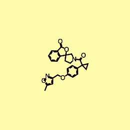 Cc1cc(COc2ccc(C3(C(=O)N4CCC5(C4)OC(=O)c4ccccc45)CC3)cc2)no1